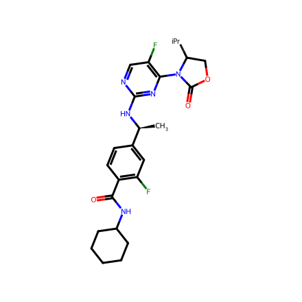 CC(C)C1COC(=O)N1c1nc(N[C@@H](C)c2ccc(C(=O)NC3CCCCC3)c(F)c2)ncc1F